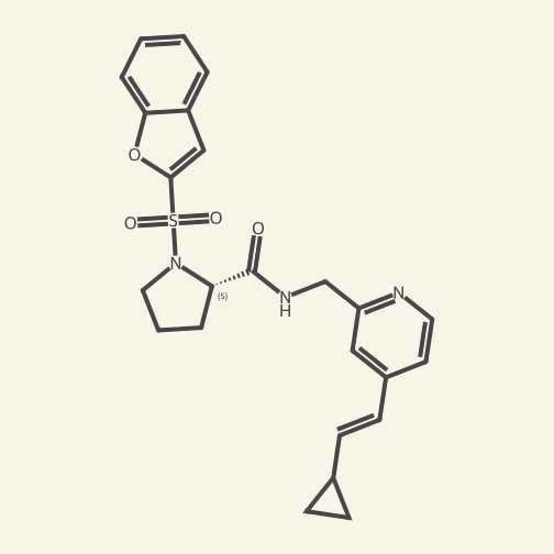 O=C(NCc1cc(C=CC2CC2)ccn1)[C@@H]1CCCN1S(=O)(=O)c1cc2ccccc2o1